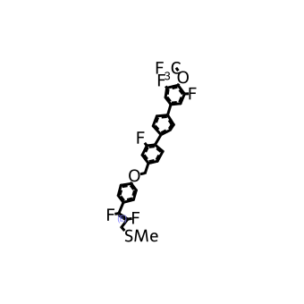 CSC/C(F)=C(\F)c1ccc(OCc2ccc(-c3ccc(-c4cc(F)c(OC(F)(F)F)c(F)c4)cc3)c(F)c2)cc1